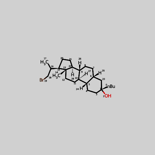 CCCC[C@@]1(O)CC[C@H]2[C@H](CC[C@@H]3[C@@H]2CC[C@]2(C)[C@@H](C(C)CBr)CC[C@@H]32)C1